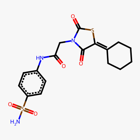 NS(=O)(=O)c1ccc(NC(=O)CN2C(=O)SC(=C3CCCCC3)C2=O)cc1